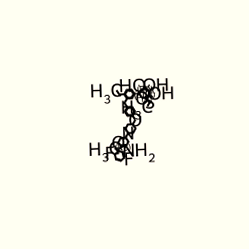 CCc1ccc([C@@H]2O[C@H](SC)[C@@H](O)[C@H](O)[C@H]2O)cc1Cc1ccc(OC2CCN(C3CO[C@H](C4(C)C=C(F)C=CC4F)[C@@H](N)C3)CC2)cc1